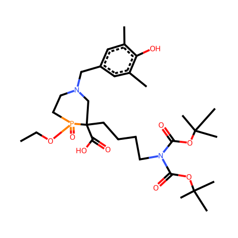 CCOP1(=O)CCN(Cc2cc(C)c(O)c(C)c2)CC1(CCCCN(C(=O)OC(C)(C)C)C(=O)OC(C)(C)C)C(=O)O